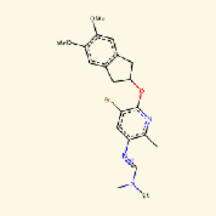 CCN(C)/C=N/c1cc(Br)c(OC2Cc3cc(OC)c(OC)cc3C2)nc1C